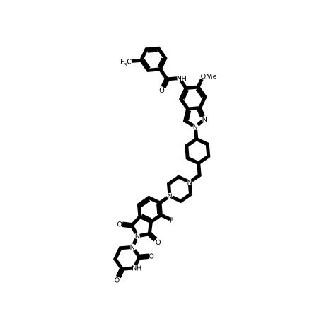 COc1cc2nn(C3CCC(CN4CCN(c5ccc6c(c5F)C(=O)N(N5CCC(=O)NC5=O)C6=O)CC4)CC3)cc2cc1NC(=O)c1cccc(C(F)(F)F)c1